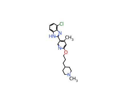 Cc1cc(OCCCC2CCN(C)CC2)ncc1-c1nc2c(Cl)cccc2[nH]1